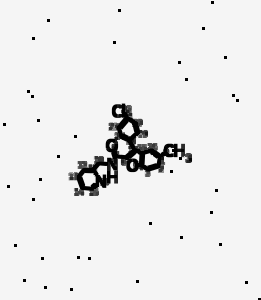 Cc1ccc2oc(C(=O)NCc3ccccn3)c(-c3ccc(Cl)cc3)c2c1